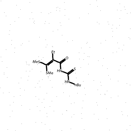 CCCCNC(=S)NC(=O)C(CC)=C(SC)SC